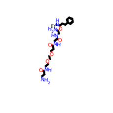 CCNC(CCc1ccccc1)OC(N)CNC(=O)CNC(=O)CCOCCOCCNC(=O)CCN